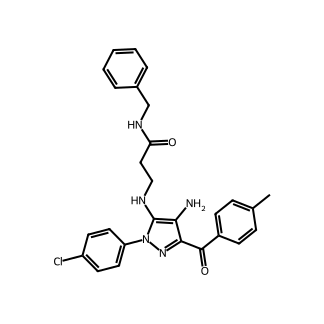 Cc1ccc(C(=O)c2nn(-c3ccc(Cl)cc3)c(NCCC(=O)NCc3ccccc3)c2N)cc1